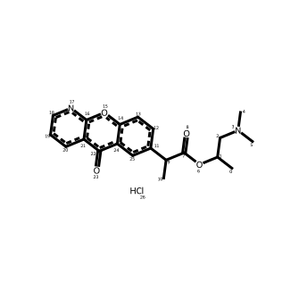 CC(CN(C)C)OC(=O)C(C)c1ccc2oc3ncccc3c(=O)c2c1.Cl